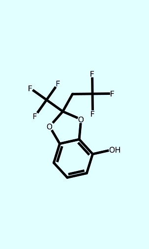 Oc1cccc2c1OC(CC(F)(F)F)(C(F)(F)F)O2